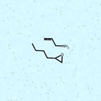 C=CCN.CCCCC1CO1